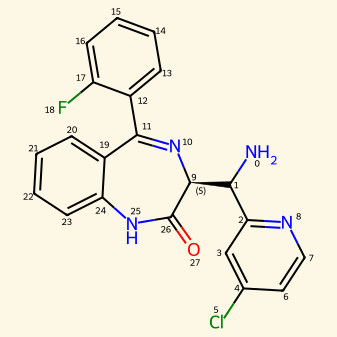 NC(c1cc(Cl)ccn1)[C@@H]1N=C(c2ccccc2F)c2ccccc2NC1=O